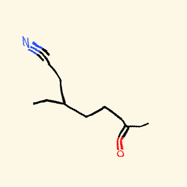 CC(=O)CCC(C)CC#N